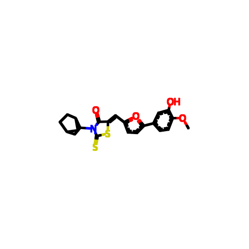 COc1ccc(-c2ccc(/C=C3\SC(=S)N(C4CC5CCC4C5)C3=O)o2)cc1O